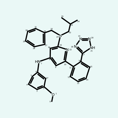 COc1cccc(Nc2cc(-c3ccccc3-c3nnn[nH]3)nc(N(Cc3ccccc3)CC(C)C)c2)c1